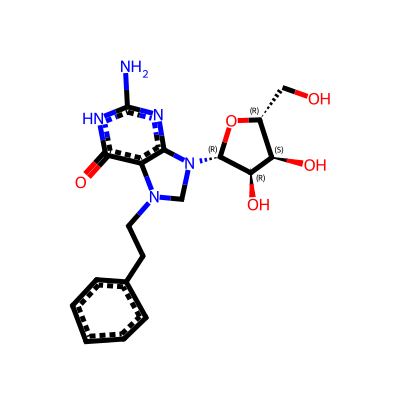 Nc1nc2c(c(=O)[nH]1)N(CCc1ccccc1)CN2[C@@H]1O[C@H](CO)[C@@H](O)[C@H]1O